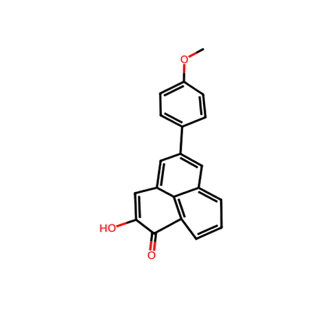 COc1ccc(-c2cc3c4c(cccc4c2)C(=O)C(O)=C3)cc1